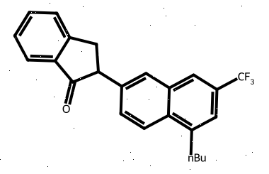 CCCCc1cc(C(F)(F)F)cc2cc(C3Cc4ccccc4C3=O)ccc12